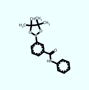 CC1(C)OB(c2cccc(C(=O)Nc3ccccc3)c2)OC1(C)C